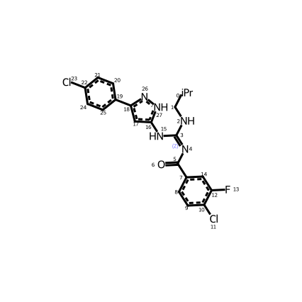 CC(C)CN/C(=N/C(=O)c1ccc(Cl)c(F)c1)Nc1cc(-c2ccc(Cl)cc2)n[nH]1